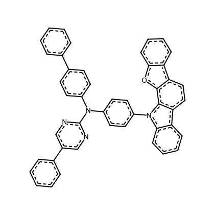 c1ccc(-c2ccc(N(c3ccc(-n4c5ccccc5c5ccc6c7ccccc7oc6c54)cc3)c3ncc(-c4ccccc4)cn3)cc2)cc1